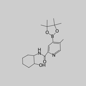 Cc1cnc(C(=O)NC2CCCCC2O)cc1B1OC(C)(C)C(C)(C)O1